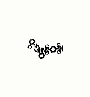 COc1ccccc1N1CCN(c2ccccc2NS(=O)(=O)c2ccc(S(=O)(=O)N(C)C)cc2)CC1